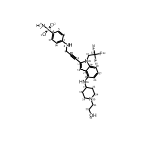 NS(=O)(=O)c1ccc(NCC#Cc2cc3c(NC4CCN(CCO)CC4)cccc3n2CC(F)(F)F)cc1